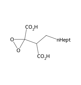 CCCCCCCCC(C(=O)O)C1(C(=O)O)OO1